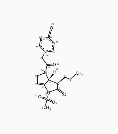 CCC[C@H]1C(=O)N(S(C)(=O)=O)C2=CCN(C(=O)Cn3ccc(=O)cc3)[C@@H]21